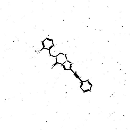 Cc1ccccc1CN1CCn2cc(C#Cc3ccccc3)cc2C1=O